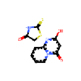 O=C1CSC(=S)N1.O=c1cc(O)nc2ccccn12